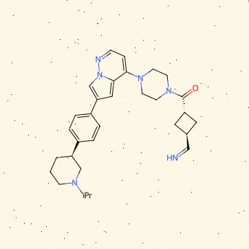 CC(C)N1CCC[C@@H](c2ccc(-c3cc4c(N5CCN(C(=O)[C@H]6C[C@H](C=N)C6)CC5)ccnn4c3)cc2)C1